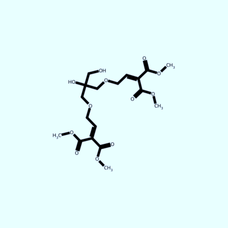 COC(=O)C(=CCOCC(O)(CO)COCC=C(C(=O)OC)C(=O)OC)C(=O)OC